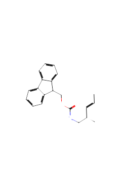 C/C=C/[C@@H](C)[C@H](C)NC(=O)OCC1c2ccccc2-c2ccccc21